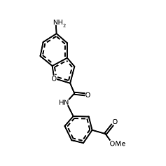 COC(=O)c1cccc(NC(=O)c2cc3cc(N)ccc3o2)c1